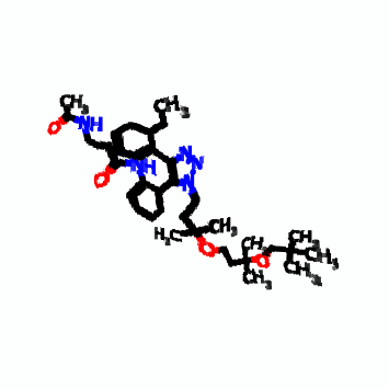 CCc1ccccc1-c1nnn(CCC(C)(C)OCCC(C)(C)OCC(C)(C)C)c1-c1ccccc1NC(=O)CCNC(C)=O